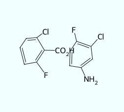 Nc1ccc(F)c(Cl)c1.O=C(O)c1c(F)cccc1Cl